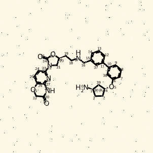 N[C@@H]1CC[C@@H](Oc2cccc(-c3cccc(CNCC[C@H]4CN(c5ccc6c(n5)NC(=O)CO6)C(=O)O4)c3)c2)C1